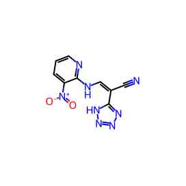 N#CC(=CNc1ncccc1[N+](=O)[O-])c1nnn[nH]1